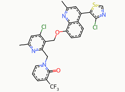 Cc1cc(Cl)c(COc2cccc3c(-c4scnc4Cl)cc(C)nc23)c(Cn2cccc(C(F)(F)F)c2=O)n1